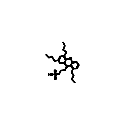 CCCCc1cc(CCCC)c2c(c1)N(CCCS(=O)(=O)O)c1c(CCCC)cccc1O2